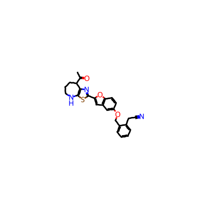 CC(=O)C1CCCNc2sc(-c3cc4cc(OCc5ccccc5CC#N)ccc4o3)nc21